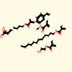 C=C(C)C(=O)OC.C=C(C)C(=O)OCCCC.C=C(C)C(=O)OCCCCCCCCCCCC.C=C(C)C(=O)OCCO.C=CC(=O)O.C=Cc1ccccc1